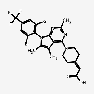 Cc1nc(N2CCC(=CC(=O)O)CC2)c2c(C)c(C)n(-c3c(Br)cc(C(F)(F)F)cc3Br)c2n1